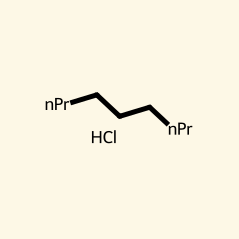 CCCCCCCCC.Cl